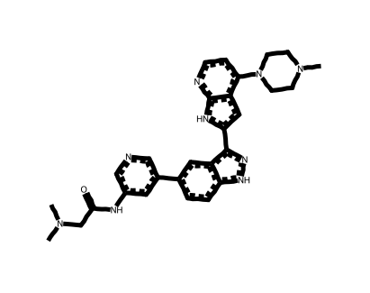 CN(C)CC(=O)Nc1cncc(-c2ccc3[nH]nc(-c4cc5c(N6CCN(C)CC6)ccnc5[nH]4)c3c2)c1